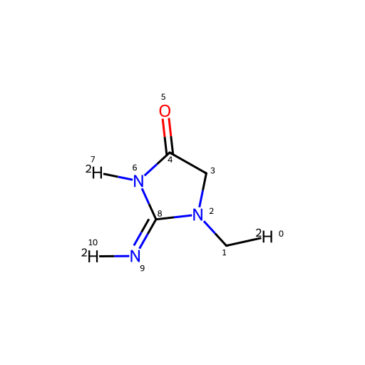 [2H]CN1CC(=O)N([2H])C1=N[2H]